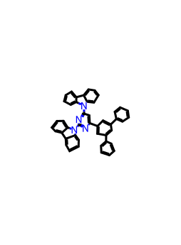 c1ccc(-c2cc(-c3ccccc3)cc(-c3cc(-n4c5ccccc5c5ccccc54)nc(-n4c5ccccc5c5ccccc54)n3)c2)cc1